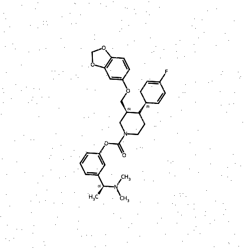 C[C@@H](c1cccc(OC(=O)N2CCC([C@@H]3C=CC(F)=CC3)[C@H](COc3ccc4c(c3)OCO4)C2)c1)N(C)C